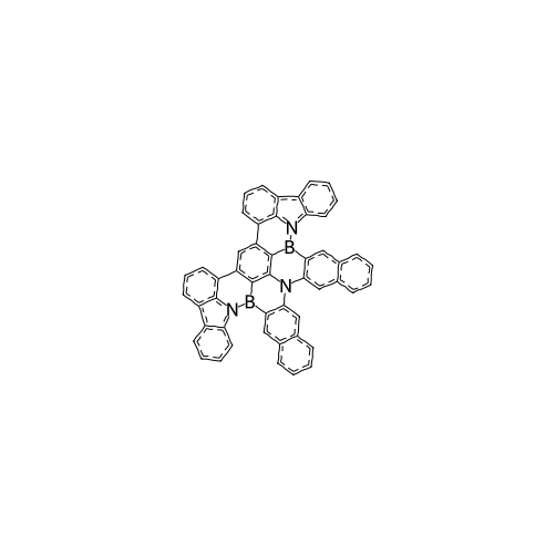 c1ccc2cc3c(cc2c1)B1c2c(cc4c5c2N3c2cc3ccccc3cc2B5n2c3ccccc3c3cccc-4c32)-c2cccc3c4ccccc4n1c23